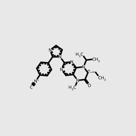 [C-]#[N+]c1ccc(-c2nccn2-c2ncc3c(n2)N(C(C)C)[C@H](CC)C(=O)N3C)cc1